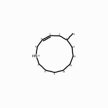 CC1C/C=C\CNCCCCCCC1